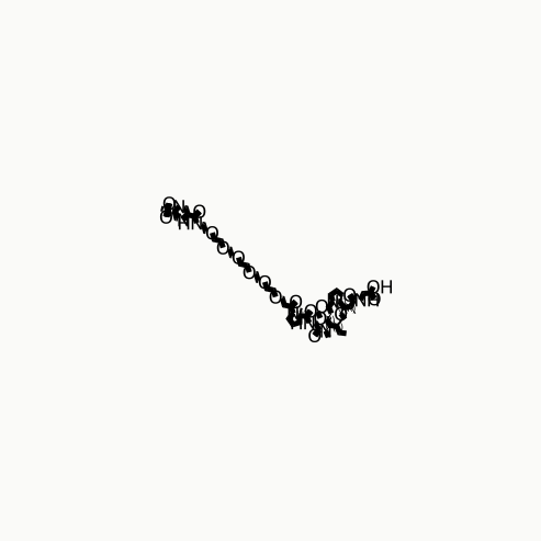 CC[C@H](C)[C@@H]([C@@H](CC(=O)N1CCC[C@H]1[C@H](OC)[C@@H](C)C(=O)NCC(=O)O)OC)N(C)C(=O)CNC(=O)[C@]1(C)CCCN1C(=O)CCOCCOCCOCCOCCOCCOCCNC(=O)c1cnc(S(C)(=O)=O)cn1